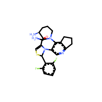 NC(=O)C1=CSC(c2c(F)cccc2F)N1c1cnc2c(c1N1CCC[C@H](N)C1)CCC2